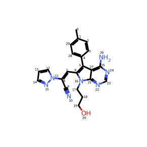 Cc1ccc(-c2c(C=C(C#N)n3cccn3)n(CCCO)c3ncnc(N)c23)cc1